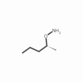 CCC[C@@H](C)ON